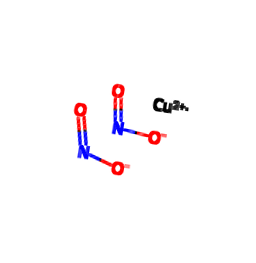 O=N[O-].O=N[O-].[Cu+2]